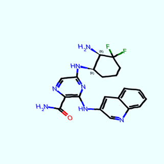 NC(=O)c1ncc(N[C@@H]2CCCC(F)(F)[C@@H]2N)nc1Nc1cnc2ccccc2c1